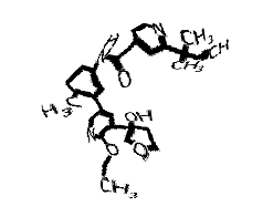 C#CC(C)(C)c1cc(C(=O)Nc2ccc(C)c(-c3cnc(OCC)c(C4(O)CCOC4)c3)c2)ccn1